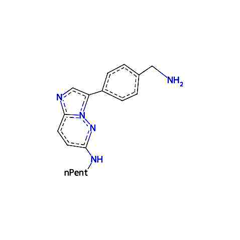 CCCCCNc1ccc2ncc(-c3ccc(CN)cc3)n2n1